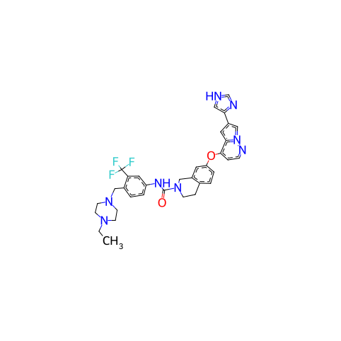 CCN1CCN(Cc2ccc(NC(=O)N3CCc4ccc(Oc5ccnn6cc(-c7c[nH]cn7)cc56)cc4C3)cc2C(F)(F)F)CC1